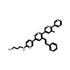 Cc1cc(-c2ncc(-c3ccc(NCCCO)nc3)cc2/C=C/c2ccccc2)cnc1-c1cccnc1